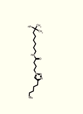 CCCC(C)(C)CCCCCCNC(=O)CCCn1cc(CCCCC(C)(C)C)nn1